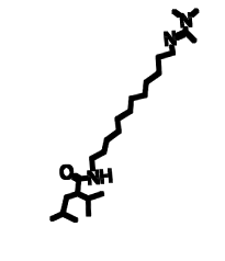 C/C(=N\CCCCCCCCCCCCNC(=O)C(CC(C)C)C(C)C)N(C)C